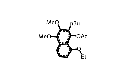 CCCCc1c(OC)c(OC)c2cccc(OCC)c2c1OC(C)=O